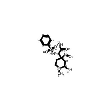 CN1CCC(N=O)([C@H](NS(=O)(=O)c2ccccc2)C(=O)O)CC1S